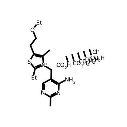 CC(=O)O.CC(=O)O.CC(=O)O.CC(=O)O.CC(=O)O.CCOCCc1sc(CC)[n+](Cc2cnc(C)nc2N)c1C.[Cl-]